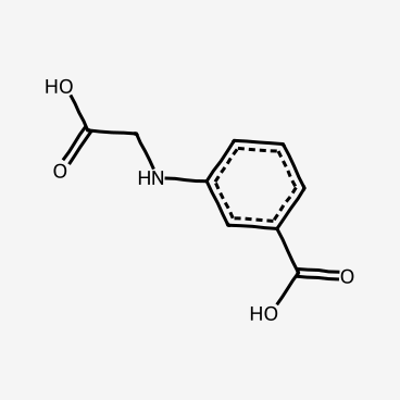 O=C(O)CNc1cccc(C(=O)O)c1